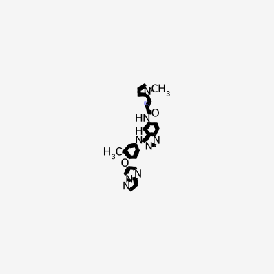 Cc1cc(Nc2ncnc3ccc(NC(=O)/C=C/c4cccn4C)cc23)ccc1Oc1cnc2ccnn2c1